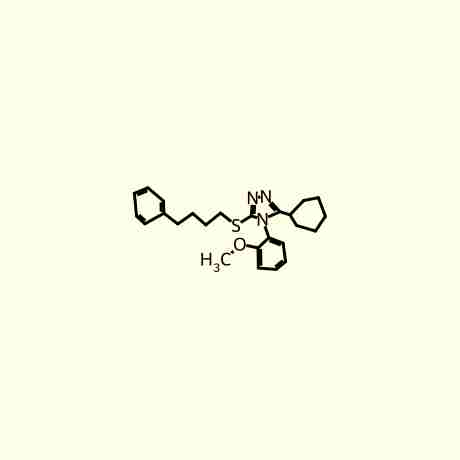 COc1ccccc1-n1c(SCCCCc2ccccc2)nnc1C1CCCCC1